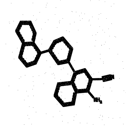 N#Cc1cc(-c2cccc(-c3cccc4ccccc34)c2)c2ccccc2c1N